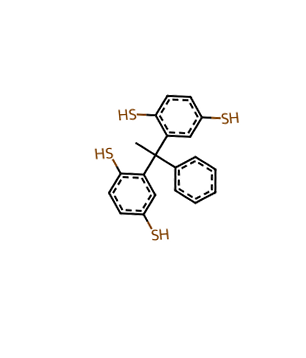 CC(c1ccccc1)(c1cc(S)ccc1S)c1cc(S)ccc1S